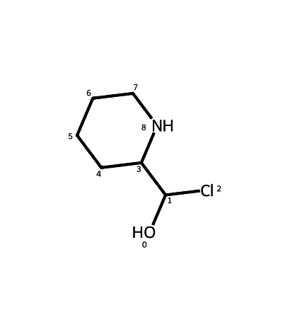 OC(Cl)C1CCCCN1